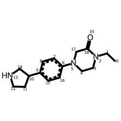 CCN1CCN(c2ccc(C3CCNC3)cc2)CC1=O